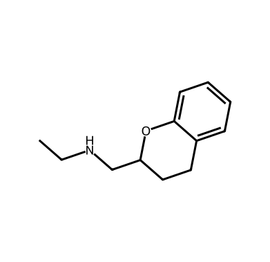 CCNCC1CCc2ccccc2O1